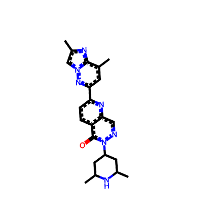 Cc1cn2nc(-c3ccc4c(=O)n(C5CC(C)NC(C)C5)ncc4n3)cc(C)c2n1